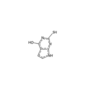 Oc1nc(S)nc2[nH]ccc12